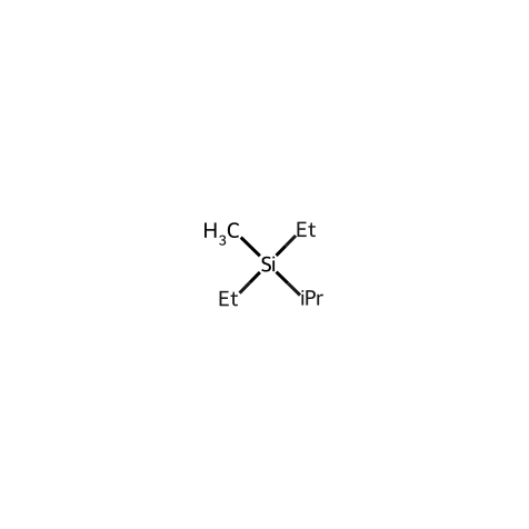 CC[Si](C)(CC)C(C)C